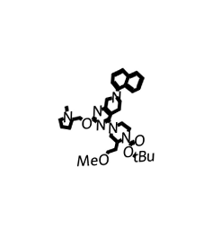 COCCC1CN(c2nc(OCC3CCCN3C)nc3c2CCN(c2cccc4ccccc24)C3)CCN1C(=O)OC(C)(C)C